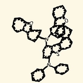 c1ccc(N(c2ccccc2)c2ccc(N(c3ccc4c(c3)oc3ccccc34)c3ccc4oc5ccccc5c4c3)c3c2sc2ccc4ccccc4c23)cc1